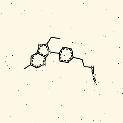 CCc1nc2cc(C)cnc2n1-c1ccc(CCN=[N+]=[N-])cc1